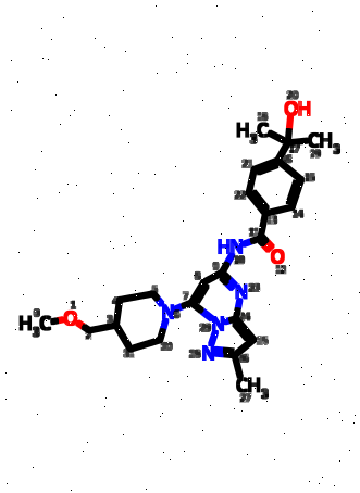 COCC1CCN(c2cc(NC(=O)c3ccc(C(C)(C)O)cc3)nc3cc(C)nn23)CC1